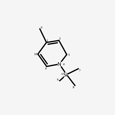 CC1=CCN([Si](C)(C)C)C=C1